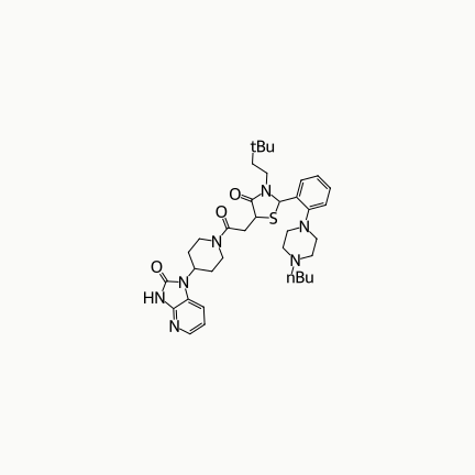 CCCCN1CCN(c2ccccc2C2SC(CC(=O)N3CCC(n4c(=O)[nH]c5ncccc54)CC3)C(=O)N2CCC(C)(C)C)CC1